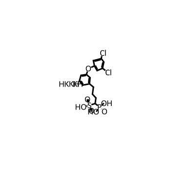 O=P(O)(O)C(CCCc1cccc(Oc2cc(Cl)cc(Cl)c2)c1)S(=O)(=O)O.[KH].[KH].[KH]